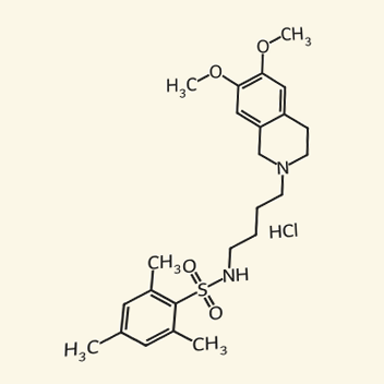 COc1cc2c(cc1OC)CN(CCCCNS(=O)(=O)c1c(C)cc(C)cc1C)CC2.Cl